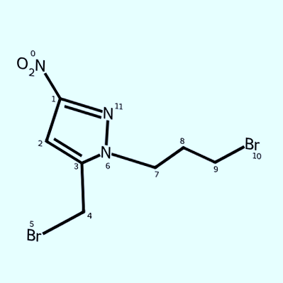 O=[N+]([O-])c1cc(CBr)n(CCCBr)n1